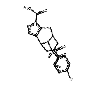 COC(=O)N1CC2Cc3c(cnn3C(=O)OC)C(C1)N2S(=O)(=O)c1ccc(Cl)cc1